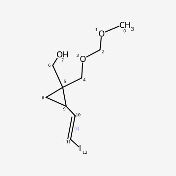 COCOCC1(CO)CC1/C=C/I